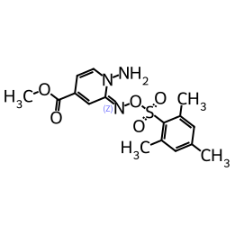 COC(=O)c1ccn(N)/c(=N\OS(=O)(=O)c2c(C)cc(C)cc2C)c1